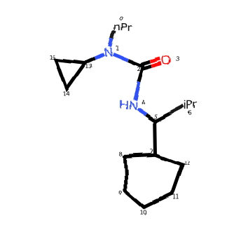 CCCN(C(=O)NC(C(C)C)C1CCCCC1)C1CC1